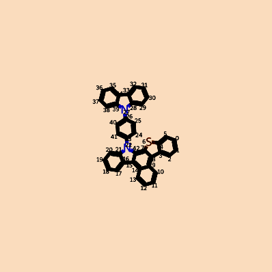 c1ccc2c(c1)sc1c2c2ccccc2c2c3ccccc3n(-c3ccc(-n4c5ccccc5c5ccccc54)cc3)c12